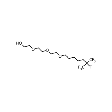 OCCOCCOCCOCCCCCC(F)(C(F)(F)F)C(F)(F)F